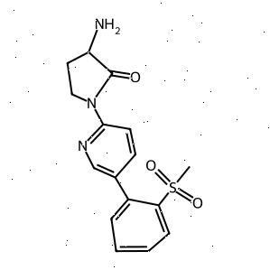 CS(=O)(=O)c1ccccc1-c1ccc(N2CCC(N)C2=O)nc1